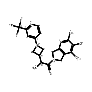 Cc1nc2c(c(C)c1Cl)CN(C(=O)C(C)C1CN(c3ccnc(C(F)(F)F)c3)C1)C2